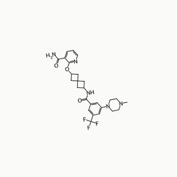 CN1CCN(c2cc(C(=O)NC3CC4(C3)CC(Oc3ncccc3C(N)=O)C4)cc(C(F)(F)F)c2)CC1